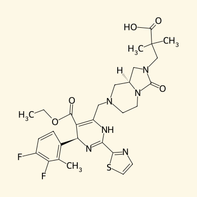 CCOC(=O)C1=C(CN2CCN3C(=O)N(CC(C)(C)C(=O)O)C[C@@H]3C2)NC(c2nccs2)=N[C@H]1c1ccc(F)c(F)c1C